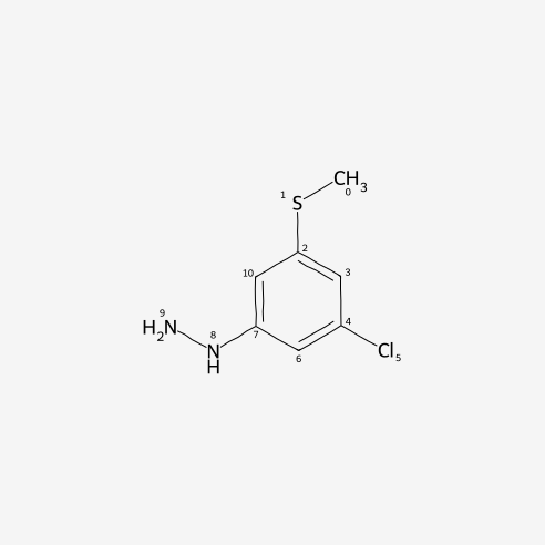 CSc1cc(Cl)cc(NN)c1